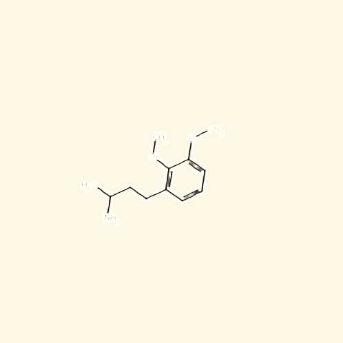 COc1cccc(CCC(C)N)c1OC